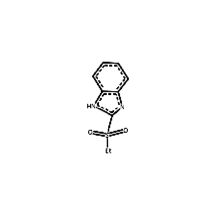 CCS(=O)(=O)c1nc2ccccc2[nH]1